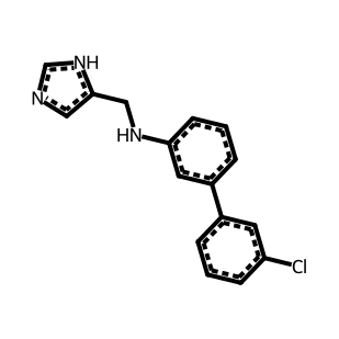 Clc1cccc(-c2cccc(NCc3cnc[nH]3)c2)c1